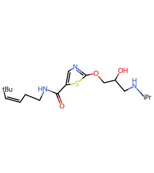 CC(C)NCC(O)COc1ncc(C(=O)NCC/C=C\C(C)(C)C)s1